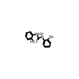 S=C(Nc1ccccc1S)Nc1ccccc1S